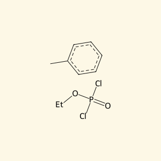 CCOP(=O)(Cl)Cl.Cc1ccccc1